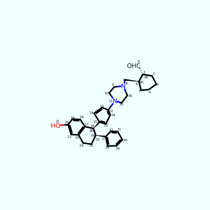 O=C[C@@H]1CCCC[C@H]1CN1CCN(c2ccc([C@@H]3c4ccc(O)cc4CC[C@@H]3c3ccccc3)cc2)CC1